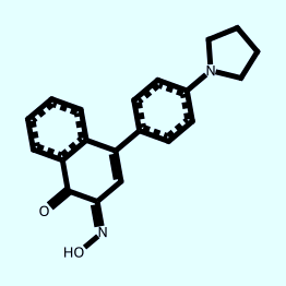 O=C1C(=NO)C=C(c2ccc(N3CCCC3)cc2)c2ccccc21